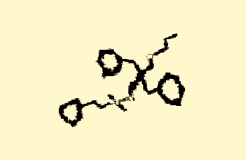 CCCOCC(CO[Si](C)(C)CCc1ccccc1)(Cc1ccccc1)Cc1ccccc1